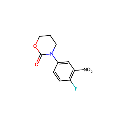 O=C1OCCCN1c1ccc(F)c([N+](=O)[O-])c1